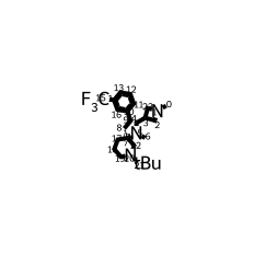 CN1CC(CN(C)[C@]2(CCc3cccc(C(F)(F)F)c3)CCCN(C(C)(C)C)C2)C1